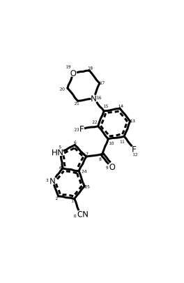 N#Cc1cnc2[nH]cc(C(=O)c3c(F)ccc(N4CCOCC4)c3F)c2c1